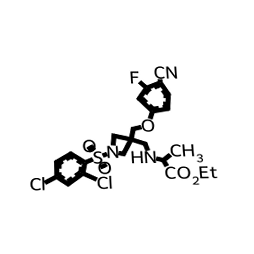 CCOC(=O)C(C)NCC1(COc2ccc(C#N)c(F)c2)CN(S(=O)(=O)c2ccc(Cl)cc2Cl)C1